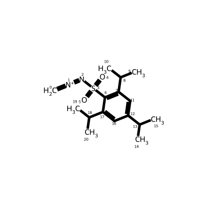 C=[N+]=NS(=O)(=O)c1c(C(C)C)cc(C(C)C)cc1C(C)C